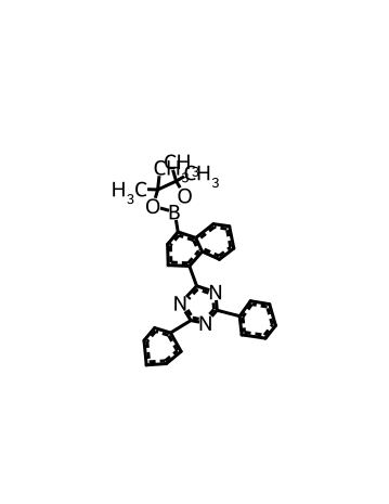 CC1(C)OB(c2ccc(-c3nc(-c4ccccc4)nc(-c4ccccc4)n3)c3ccccc23)OC1(C)C